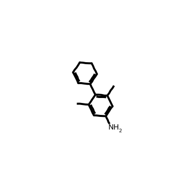 Cc1cc(N)cc(C)c1C1=CCCC=C1